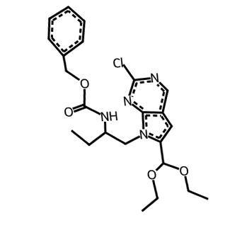 CCOC(OCC)c1cc2cnc(Cl)nc2n1CC(CC)NC(=O)OCc1ccccc1